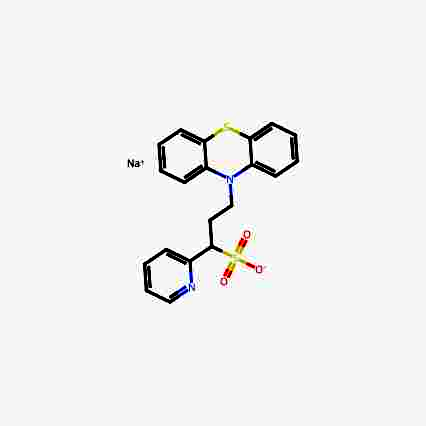 O=S(=O)([O-])C(CCN1c2ccccc2Sc2ccccc21)c1ccccn1.[Na+]